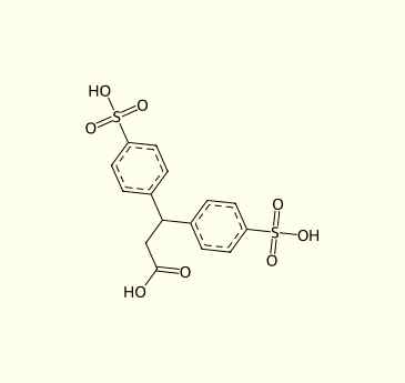 O=C(O)CC(c1ccc(S(=O)(=O)O)cc1)c1ccc(S(=O)(=O)O)cc1